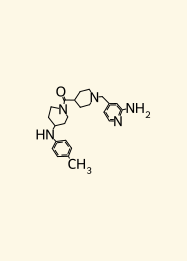 Cc1ccc(NC2CCN(C(=O)C3CCN(Cc4ccnc(N)c4)CC3)CC2)cc1